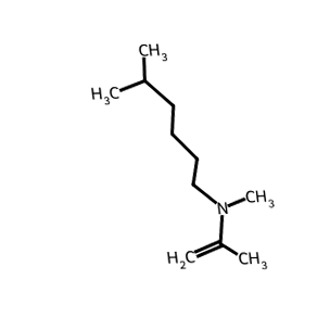 C=C(C)N(C)CCCCC(C)C